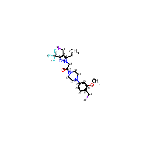 CCc1c(CI)c(C(F)(F)F)nn1CC(=O)N1CCN(c2ccc(CI)c(OC)c2)CC1